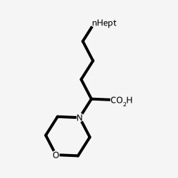 CCCCCCCCCCC(C(=O)O)N1CCOCC1